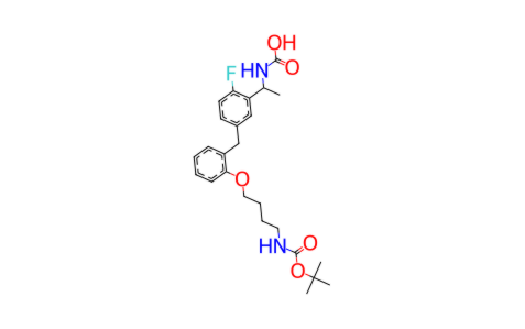 CC(NC(=O)O)c1cc(Cc2ccccc2OCCCCNC(=O)OC(C)(C)C)ccc1F